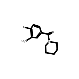 O=C(c1ccc(F)c([N+](=O)[O-])c1)N1CCCCC1